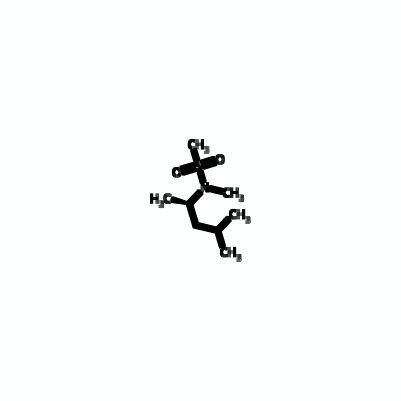 CC(C)C[C@@H](C)N(C)S(C)(=O)=O